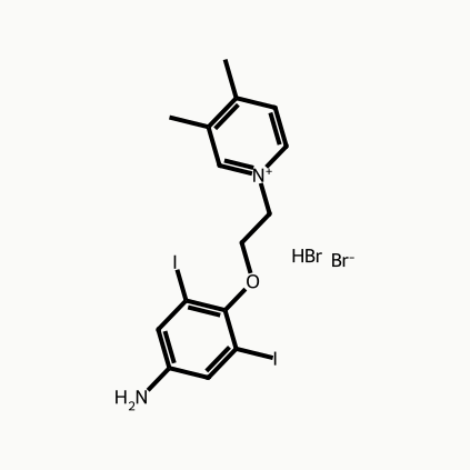 Br.Cc1cc[n+](CCOc2c(I)cc(N)cc2I)cc1C.[Br-]